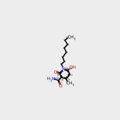 CCCCCCCCn1c(O)cc(C)c(C(N)=O)c1=O